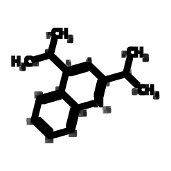 CC(C)c1cc(C(C)C)c2ccccc2n1